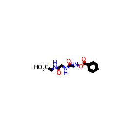 O=C(O)CNC(=O)CNC(=O)CNOC(=O)c1ccccc1